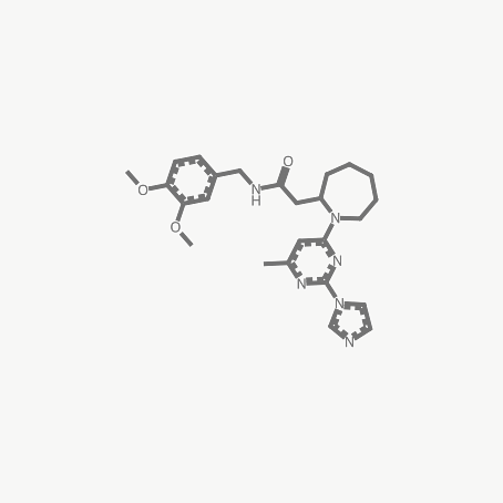 COc1ccc(CNC(=O)CC2CCCCCN2c2cc(C)nc(-n3ccnc3)n2)cc1OC